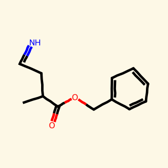 CC(CC=N)C(=O)OCc1ccccc1